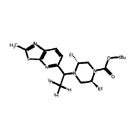 [2H]C([2H])([2H])C(c1ccc2nc(C)sc2n1)N1C[C@H](CC)N(C(=O)OC(C)(C)C)C[C@H]1CC